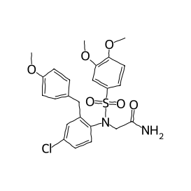 COc1ccc(Cc2cc(Cl)ccc2N(CC(N)=O)S(=O)(=O)c2ccc(OC)c(OC)c2)cc1